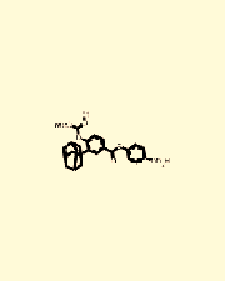 CCOC(OC)Oc1ccc(C(=O)Sc2ccc(C(=O)O)cc2)cc1C12CC3CC(CC(C3)C1)C2